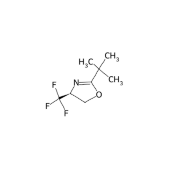 CC(C)(C)C1=N[C@H](C(F)(F)F)CO1